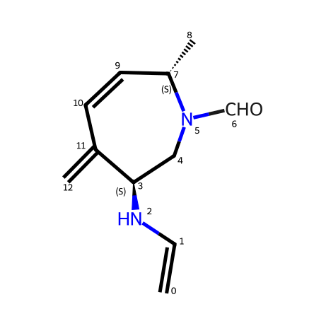 C=CN[C@@H]1CN(C=O)[C@@H](C)C=CC1=C